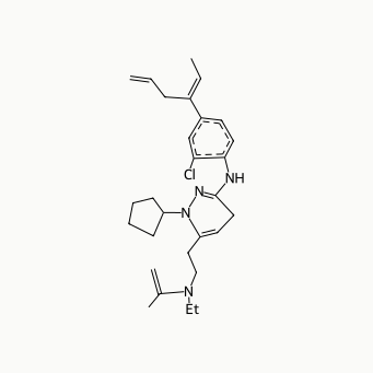 C=CC/C(=C\C)c1ccc(NC2=NN(C3CCCC3)C(CCN(CC)C(=C)C)=CC2)c(Cl)c1